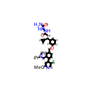 COc1cc(-c2ccc(COc3cccc([C@@H](CC(=O)NNC(N)=O)C4CC4)c3)cc2CN(C(C)C)C(C)C)c(F)cn1